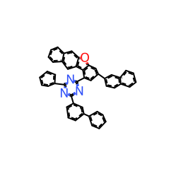 c1ccc(-c2cccc(-c3nc(-c4ccccc4)nc(-c4cc(-c5ccc6ccccc6c5)cc5oc6cc7ccccc7cc6c45)n3)c2)cc1